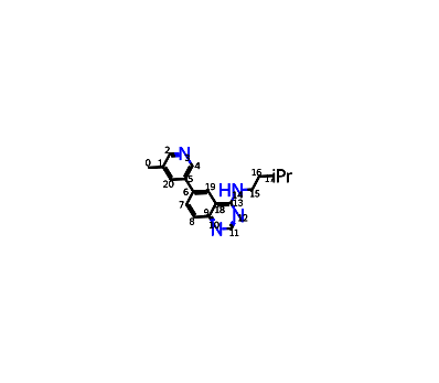 Cc1cncc(-c2ccc3ncnc(NCCC(C)C)c3c2)c1